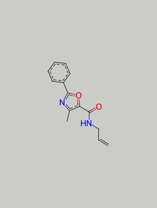 C=CCNC(=O)c1oc(-c2ccccc2)nc1C